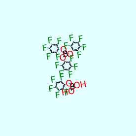 Fc1c(F)c(F)c(OB(Oc2c(F)c(F)c(F)c(F)c2F)Oc2c(F)c(F)c(F)c(F)c2F)c(F)c1F.OB(O)Oc1c(F)c(F)c(F)c(F)c1F